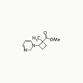 COC(=O)C1(C)CCC1N1C=CC=NC1